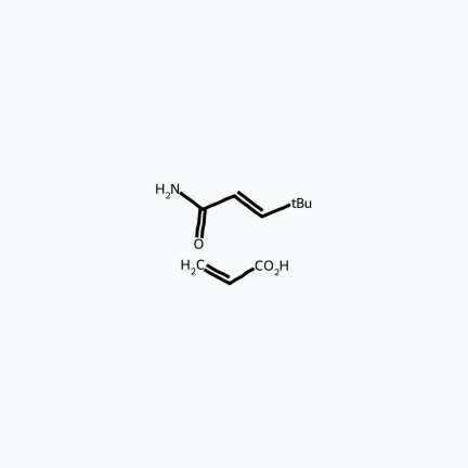 C=CC(=O)O.CC(C)(C)C=CC(N)=O